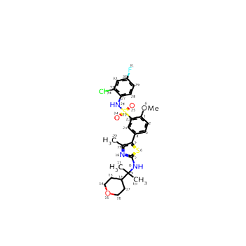 COc1ccc(-c2sc(NC(C)(C)C3CCOCC3)nc2C)cc1S(=O)(=O)Nc1ccc(F)cc1Cl